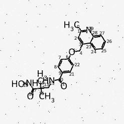 Cc1cc(COc2ccc(C(=O)NCC(C)(C)C(=O)NO)cc2)c2ccccc2n1